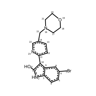 Oc1[nH]c2ccc(Br)cc2c1-c1ccc(CN2CCOCC2)cn1